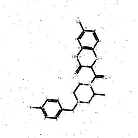 CC1CN(Cc2ccc(F)cc2)CCN1C(=O)C1Oc2ccc(Cl)cc2NC1=O